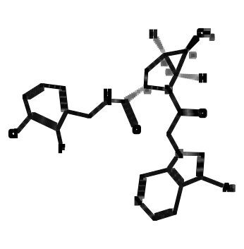 CC(=O)c1cn(CC(=O)N2[C@@H]3[C@H](C)[C@@H]3C[C@H]2C(=O)NCc2cccc(Cl)c2F)c2cnccc12